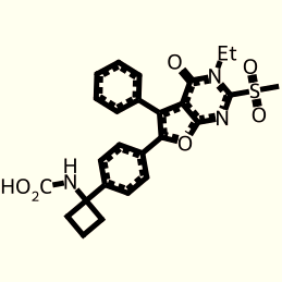 CCn1c(S(C)(=O)=O)nc2oc(-c3ccc(C4(NC(=O)O)CCC4)cc3)c(-c3ccccc3)c2c1=O